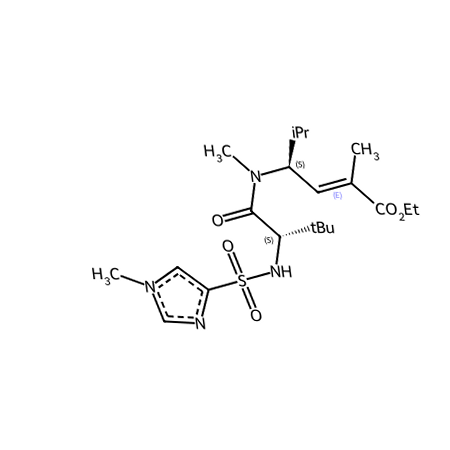 CCOC(=O)/C(C)=C/[C@H](C(C)C)N(C)C(=O)[C@@H](NS(=O)(=O)c1cn(C)cn1)C(C)(C)C